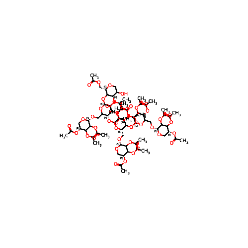 CC(=O)OC[C@@H]1OCC(O)[C@@H](OC(C)=O)C1O[C@@H]1OC(CO[C@H]2OC[C@@H](OC(C)=O)C(OC(C)=O)C2OC(C)=O)[C@@H](OC2O[C@@H](CO[C@H]3OC[C@H](OC(C)=O)C(OC(C)=O)C3OC(C)=O)C(O[C@@H]3OC(CO[C@H]4OC[C@@H](OC(C)=O)C(OC(C)=O)C4OC(C)=O)[C@@H](OC(C)=O)C(OC(C)=O)C3OC(C)=O)[C@H](OC(C)=O)C2OC(C)=O)C(OC(C)=O)C1OC(C)=O